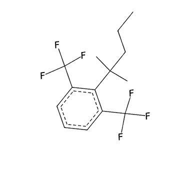 CCCC(C)(C)c1c(C(F)(F)F)cccc1C(F)(F)F